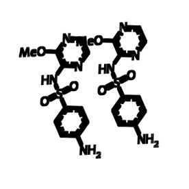 COc1nccnc1NS(=O)(=O)c1ccc(N)cc1.COc1nccnc1NS(=O)(=O)c1ccc(N)cc1